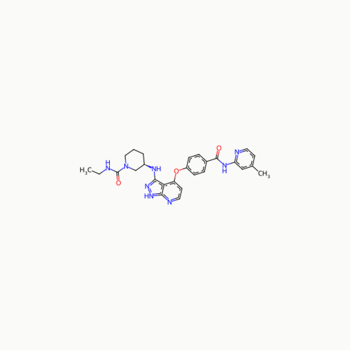 CCNC(=O)N1CCC[C@@H](Nc2n[nH]c3nccc(Oc4ccc(C(=O)Nc5cc(C)ccn5)cc4)c23)C1